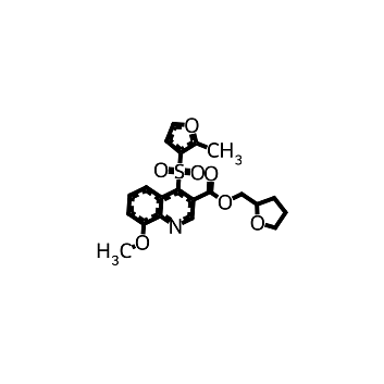 COc1cccc2c(S(=O)(=O)c3ccoc3C)c(C(=O)OCC3CCCO3)cnc12